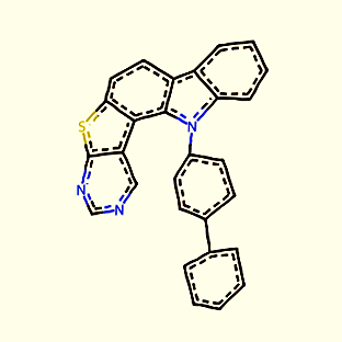 c1ccc(-c2ccc(-n3c4ccccc4c4ccc5sc6ncncc6c5c43)cc2)cc1